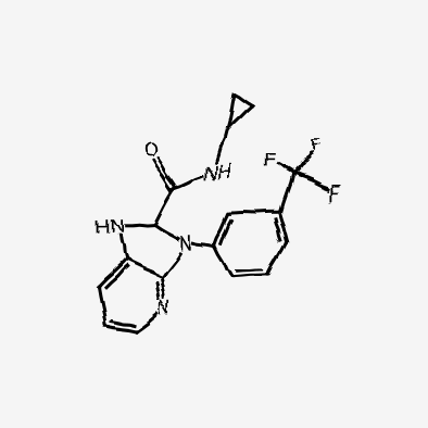 O=C(NC1CC1)C1Nc2cccnc2N1c1cccc(C(F)(F)F)c1